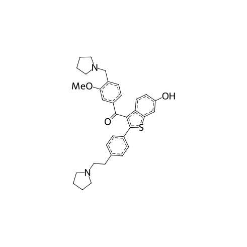 COc1cc(C(=O)c2c(-c3ccc(CCN4CCCC4)cc3)sc3cc(O)ccc23)ccc1CN1CCCC1